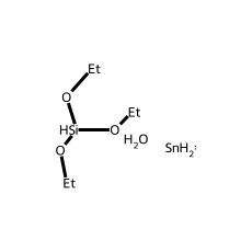 CCO[SiH](OCC)OCC.O.[SnH2]